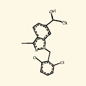 Cc1nn(Cc2c(Cl)cccc2Cl)c2cc(C(O)C#N)ccc12